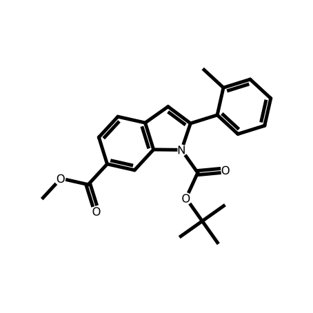 COC(=O)c1ccc2cc(-c3ccccc3C)n(C(=O)OC(C)(C)C)c2c1